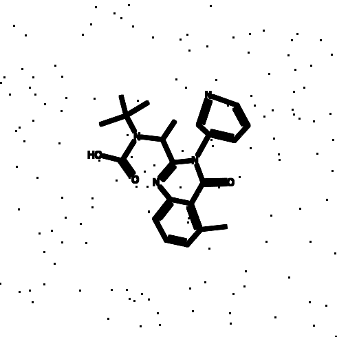 Cc1cccc2nc(C(C)N(C(=O)O)C(C)(C)C)n(-c3cccnc3)c(=O)c12